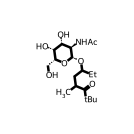 CCC(CC(C)C(=O)C(C)(C)C)O[C@@H]1O[C@H](CO)[C@H](O)[C@H](O)[C@H]1NC(C)=O